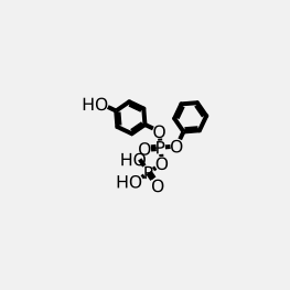 O=P(O)(O)OP(=O)(Oc1ccccc1)Oc1ccc(O)cc1